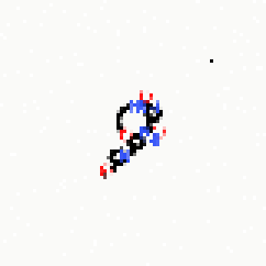 COCC1CCCN(Cc2cc3c4nc(c(=O)[nH]c4c2)-c2cccc4c(=O)n([nH]c24)CCCCCO3)C1